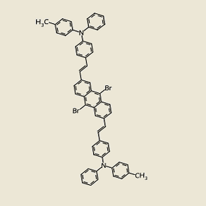 Cc1ccc(N(c2ccccc2)c2ccc(C=Cc3ccc4c(Br)c5cc(C=Cc6ccc(N(c7ccccc7)c7ccc(C)cc7)cc6)ccc5c(Br)c4c3)cc2)cc1